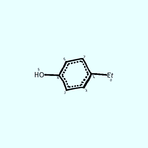 [CH2]Cc1ccc(O)cc1